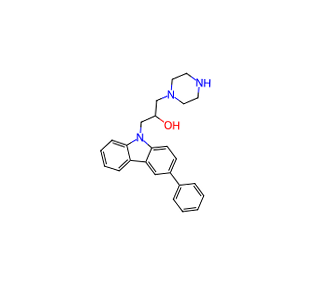 OC(CN1CCNCC1)Cn1c2ccccc2c2cc(-c3ccccc3)ccc21